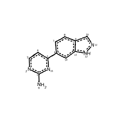 Nc1nccc(-c2ccc3cn[nH]c3c2)n1